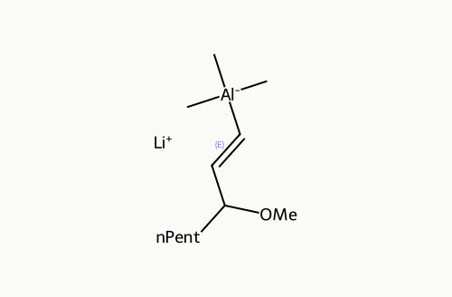 CCCCCC(/C=[CH]/[Al-]([CH3])([CH3])[CH3])OC.[Li+]